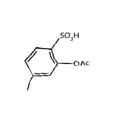 CC(=O)Oc1cc(C)ccc1S(=O)(=O)O